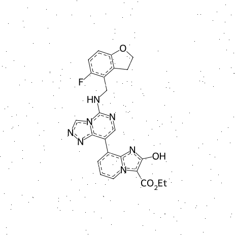 CCOC(=O)c1c(O)nc2c(-c3cnc(NCc4c(F)ccc5c4CCO5)n4cnnc34)cccn12